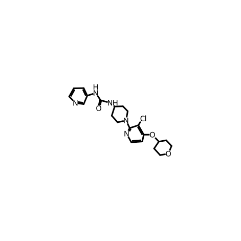 O=C(Nc1cccnc1)NC1CCN(c2nccc(OC3CCOCC3)c2Cl)CC1